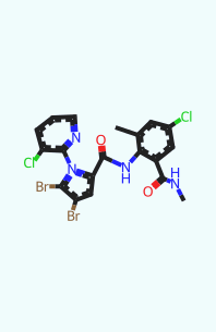 CNC(=O)c1cc(Cl)cc(C)c1NC(=O)c1cc(Br)c(Br)n1-c1ncccc1Cl